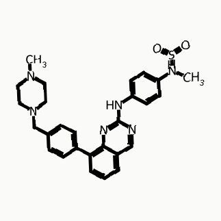 CN1CCN(Cc2ccc(-c3cccc4cnc(Nc5ccc(N(C)[SH](=O)=O)cc5)nc34)cc2)CC1